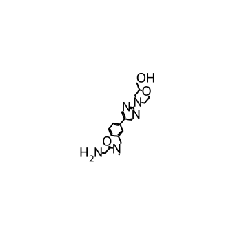 CN(Cc1cccc(-c2cnc(N3CCOC(CO)C3)nc2)c1)C(=O)CN